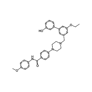 CCOc1cc(CN2CCN(c3ccc(C(=O)Nc4ccc(OC)cc4)cc3)CC2)cc(-c2cccc(O)c2)c1